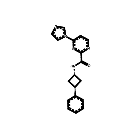 O=C(N[C@H]1C[C@H](c2ccccc2)C1)c1nccc(-n2ccnc2)n1